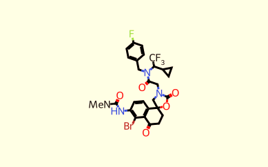 CNC(=O)Nc1ccc2c(c1Br)C(=O)CCC21CN(CC(=O)N(Cc2ccc(F)cc2)C(C2CC2)C(F)(F)F)C(=O)O1